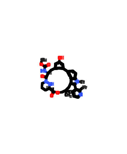 CCn1c(-c2cccnc2C(C)C)c2c3cc(ccc31)-c1cc(O)cc(c1)C[C@H](NC(=O)OC(C)(C)C)C(=O)N1CCC[C@H](N1)C(=O)OCC(C)(C)C2